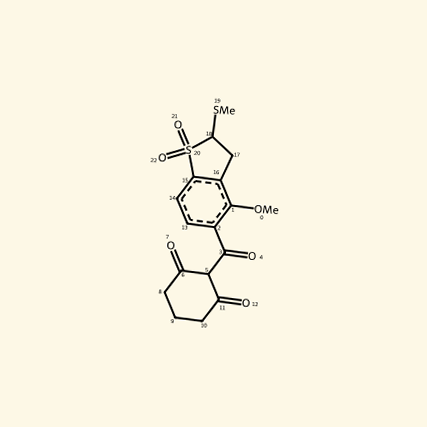 COc1c(C(=O)C2C(=O)CCCC2=O)ccc2c1CC(SC)S2(=O)=O